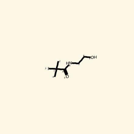 CC(C)(I)C(=O)NCCO